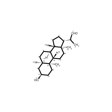 CC(C=O)[C@H]1CC[C@H]2[C@@H]3CC[C@@H]4C[C@H](O)CC[C@]4(C)[C@H]3CC[C@]12C